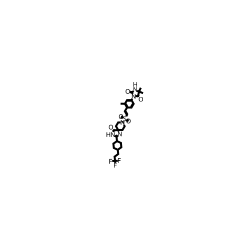 Cc1cc(N2C(=O)NC(C)(C)C2=O)ccc1/C=C/S(=O)(=O)N1CCC2(CC1)N=C(C1CCC(CCC(F)(F)F)CC1)NC2=O